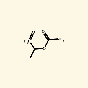 CC(OC(N)=O)[PH2]=O